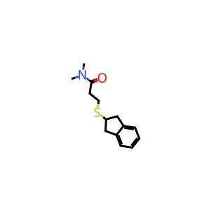 CN(C)C(=O)CCSC1Cc2ccccc2C1